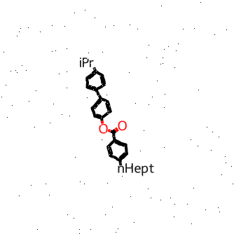 CCCCCCCc1ccc(C(=O)Oc2ccc(-c3ccc(C(C)C)cc3)cc2)cc1